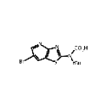 CC(C)(C)N(C(=O)O)c1nc2ncc(Br)cc2s1